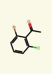 CC(=O)c1c(Cl)cccc1Br